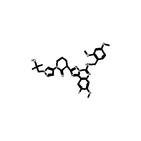 COc1ccc(CNc2nc3cc(OC)c(F)cc3c3nc(C4CCCN(c5cnn(CC(C)(C)O)c5)C4=O)nn23)c(OC)c1